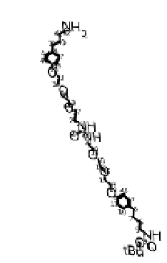 CC(C)(C)OC(=O)NCCCCc1ccc(OCCOCCOCCNC(=O)NCCOCCOCCOc2ccc(CCCCN)cc2)cc1